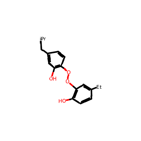 CCc1ccc(O)c(OOc2ccc(CC(C)C)cc2O)c1